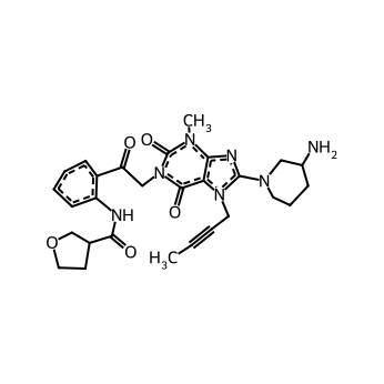 CC#CCn1c(N2CCCC(N)C2)nc2c1c(=O)n(CC(=O)c1ccccc1NC(=O)C1CCOC1)c(=O)n2C